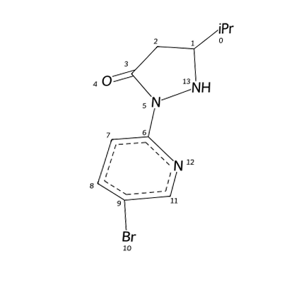 CC(C)C1CC(=O)N(c2ccc(Br)cn2)N1